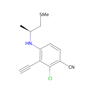 C#Cc1c(N[C@@H](C)CSC)ccc(C#N)c1Cl